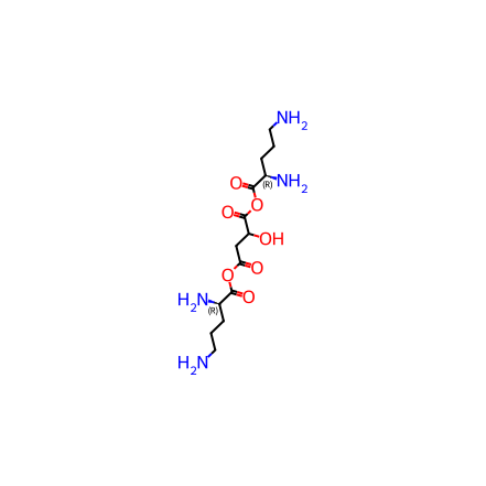 NCCC[C@@H](N)C(=O)OC(=O)CC(O)C(=O)OC(=O)[C@H](N)CCCN